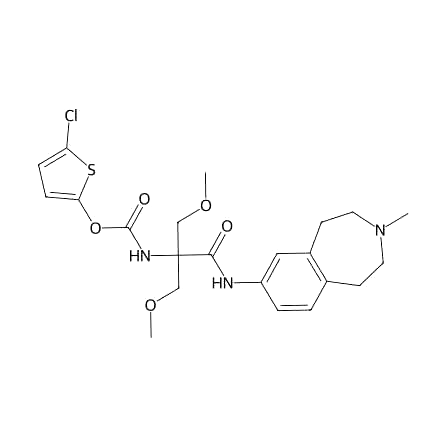 COCC(COC)(NC(=O)Oc1ccc(Cl)s1)C(=O)Nc1ccc2c(c1)CCN(C)CC2